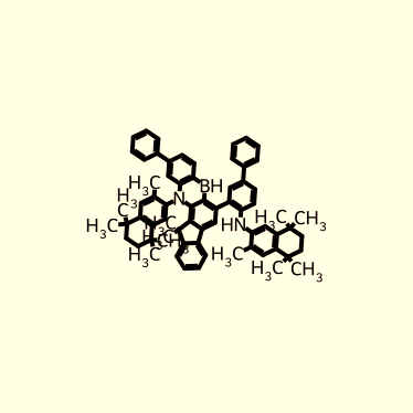 Cc1cc2c(cc1Nc1ccc(-c3ccccc3)cc1-c1cc3c(c4c1Bc1ccc(-c5ccccc5)cc1N4c1cc4c(cc1C)C(C)(C)CCC4(C)C)C(C)(C)c1ccccc1-3)C(C)(C)CCC2(C)C